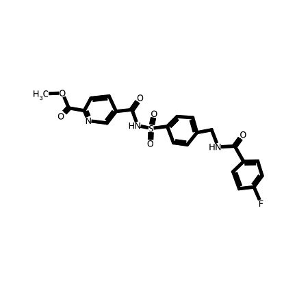 COC(=O)c1ccc(C(=O)NS(=O)(=O)c2ccc(CNC(=O)c3ccc(F)cc3)cc2)cn1